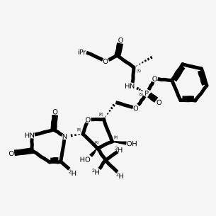 [2H]c1cc(=O)[nH]c(=O)n1[C@@H]1O[C@H](CO[P@@](=O)(N[C@@H](C)C(=O)OC(C)C)Oc2ccccc2)[C@@H](O)[C@]1(O)C([2H])([2H])[2H]